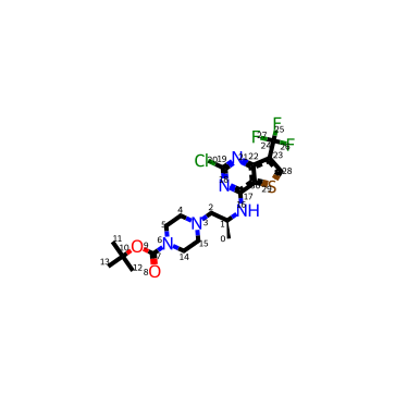 C[C@@H](CN1CCN(C(=O)OC(C)(C)C)CC1)Nc1nc(Cl)nc2c(C(F)(F)F)csc12